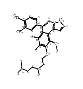 COc1c(OCCN(C)CCN(C)C)c(C)c(F)c2c(-c3ccc(O)c(Cl)c3)nc3[nH]ncc3c12